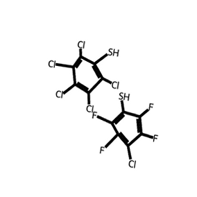 Fc1c(F)c(Cl)c(F)c(F)c1S.Sc1c(Cl)c(Cl)c(Cl)c(Cl)c1Cl